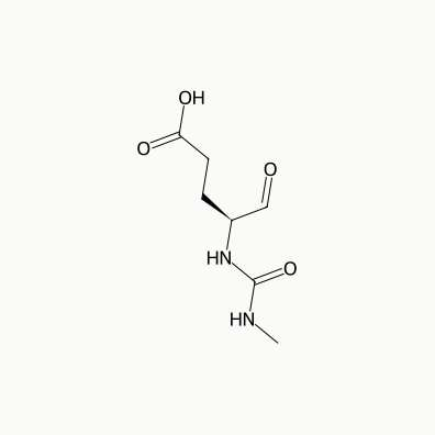 CNC(=O)N[C@H](C=O)CCC(=O)O